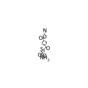 CN(C)CCOC(=O)c1ccc(C(=O)c2cc(S(N)(=O)=O)cs2)cc1